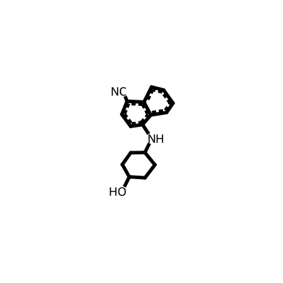 N#Cc1ccc(NC2CCC(O)CC2)c2ccccc12